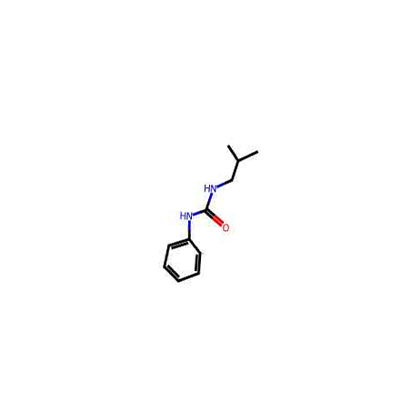 CC(C)CNC(=O)Nc1[c]cccc1